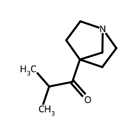 CC(C)C(=O)C12CCN(CC1)C2